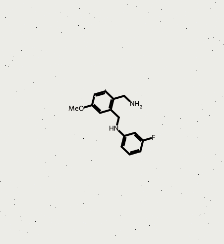 COc1c[c]c(CN)c(CNc2cccc(F)c2)c1